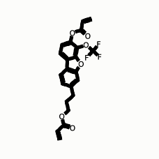 C=CC(=O)OCCCc1ccc2c(c1)oc1c(OC(F)(F)F)c(OC(=O)C=C)ccc12